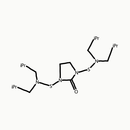 CC(C)CN(CC(C)C)SN1CCN(SN(CC(C)C)CC(C)C)C1=O